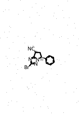 N#C[C@H]1C[C@@H](c2ccccc2)n2nc(Br)nc21